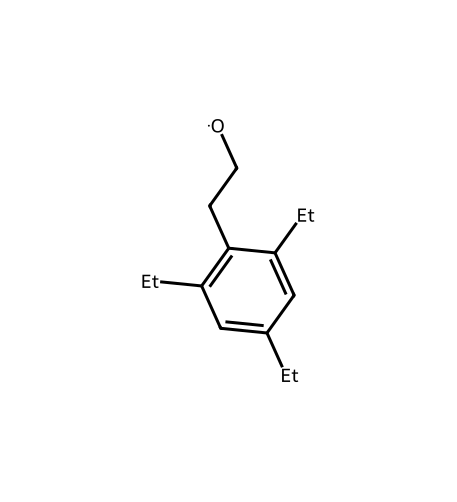 CCc1cc(CC)c(CC[O])c(CC)c1